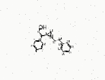 OCC(c1ccccc1)C1CN1CCc1ccccc1